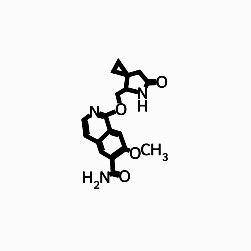 COc1cc2c(OCC3NC(=O)CC34CC4)nccc2cc1C(N)=O